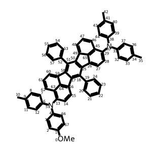 COc1ccc(N(c2ccc(C)cc2)c2ccc3c4c(-c5ccccc5)c5c6ccc(N(c7ccc(C)cc7)c7ccc(C)cc7)c7cccc(c5c(-c5ccccc5)c4c4cccc2c43)c76)cc1